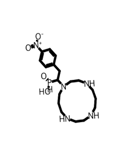 O=[N+]([O-])c1ccc(CC(N2CCCNCCNCCCNCC2)[PH](=O)O)cc1